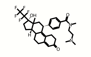 CN(C)CCN(C)C(=O)c1ccc([C@H]2CC3(C)[C@@H](CC[C@@]3(O)C(F)(F)C(F)(F)F)C3CCC4=CC(=O)CCC4=C32)cc1